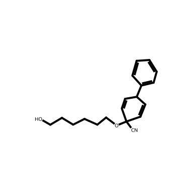 N#CC1(OCCCCCCO)C=CC(c2ccccc2)C=C1